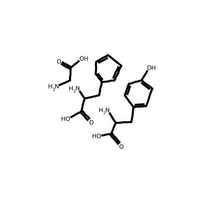 NC(Cc1ccc(O)cc1)C(=O)O.NC(Cc1ccccc1)C(=O)O.NCC(=O)O